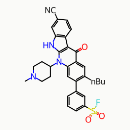 CCCCc1cc2c(=O)c3c4ccc(C#N)cc4[nH]c3n(C3CCN(C)CC3)c2cc1-c1cccc(S(=O)(=O)F)c1